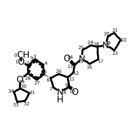 COc1ccc([C@H]2CNC(=O)C(CC(=O)N3CCC(N4CCCC4)CC3)C2)cc1OC1CCCC1